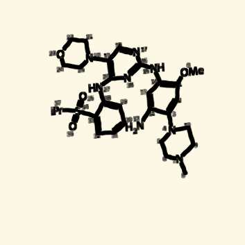 COc1cc(N2CCN(C)CC2)c(N)cc1Nc1ncc(N2CCOCC2)c(Nc2ccccc2S(=O)(=O)C(C)C)n1